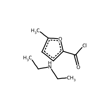 CCNCC.Cc1ccc(C(=O)Cl)o1